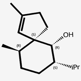 CC1=C[C@]2(CC1)[C@H](C)CC[C@@H](C(C)C)[C@H]2O